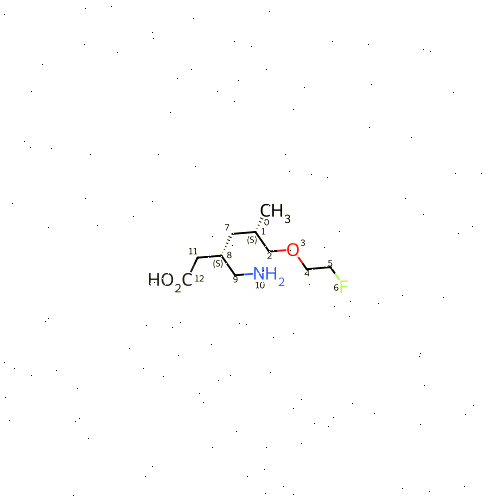 C[C@H](COCCF)C[C@H](CN)CC(=O)O